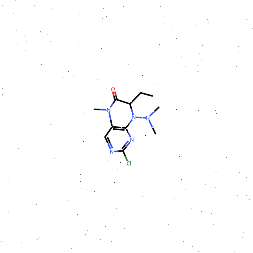 CCC1C(=O)N(C)c2cnc(Cl)nc2N1N(C)C